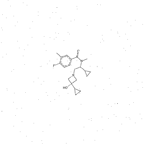 Cc1cc(C(=O)N(C)C(CN2CC(O)(C3CC3)C2)C2CC2)ccc1F